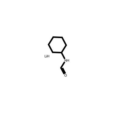 O=CNC1CCCCC1.[LiH]